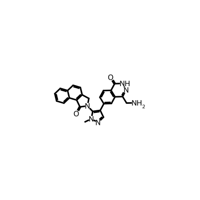 Cn1ncc(-c2ccc3c(=O)[nH]nc(CN)c3c2)c1N1Cc2ccc3ccccc3c2C1=O